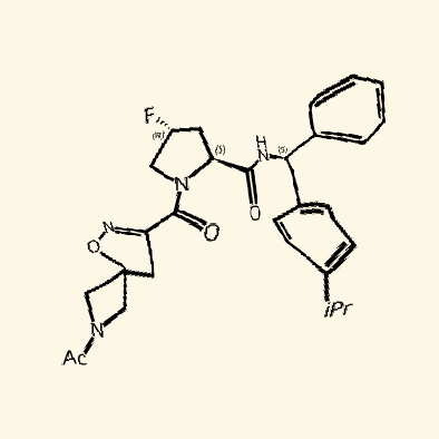 CC(=O)N1CC2(CC(C(=O)N3C[C@H](F)C[C@H]3C(=O)N[C@@H](c3ccccc3)c3ccc(C(C)C)cc3)=NO2)C1